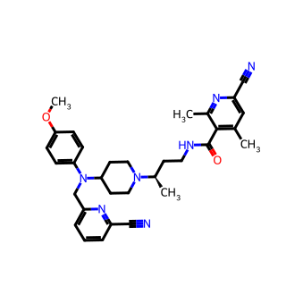 COc1ccc(N(Cc2cccc(C#N)n2)C2CCN([C@H](C)CCNC(=O)c3c(C)cc(C#N)nc3C)CC2)cc1